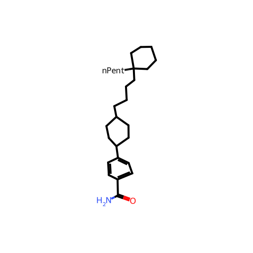 CCCCCC1(CCCCC2CCC(c3ccc(C(N)=O)cc3)CC2)CCCCC1